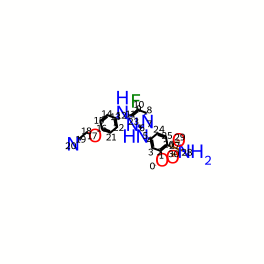 COc1cc(Nc2ncc(F)c(Nc3ccc(OCC#N)cc3)n2)ccc1S(N)(=O)=O